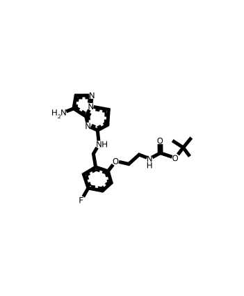 CC(C)(C)OC(=O)NCCOc1ccc(F)cc1CNc1ccn2ncc(N)c2n1